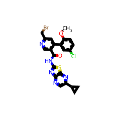 COc1ccc(Cl)cc1-c1cc(CBr)ncc1C(=O)Nc1nc2ncc(C3CC3)nc2s1